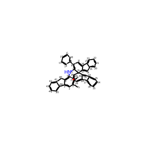 Cc1cc2c(c(NC3=C(c4ccccc4)C=C4C(=Cc5ccccc54)C34C=CC=C3C4=Cc4ccccc43)c1C)Cc1ccccc1-2